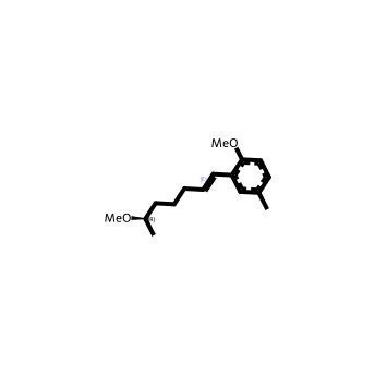 COc1ccc(C)cc1/C=C/CCC[C@@H](C)OC